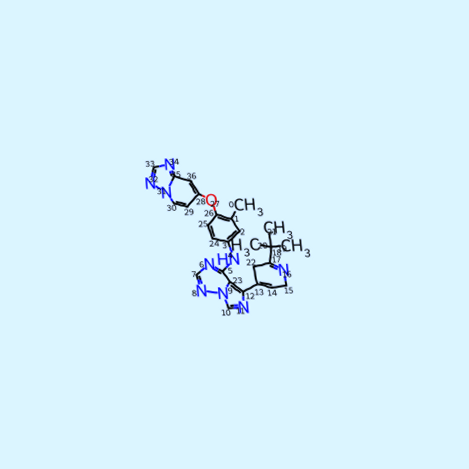 Cc1cc(Nc2ncnn3cnc(C4=CCN=C(C(C)(C)C)C4)c23)ccc1Oc1ccn2ncnc2c1